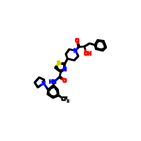 O=C(Nc1cc(C(F)(F)F)ccc1N1CCCC1)c1csc(C2CCN(C(=O)[C@H](O)Cc3ccccc3)CC2)n1